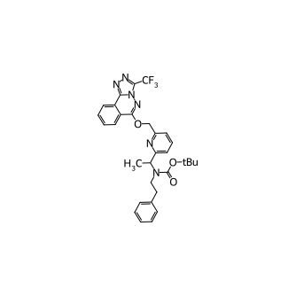 CC(c1cccc(COc2nn3c(C(F)(F)F)nnc3c3ccccc23)n1)N(CCc1ccccc1)C(=O)OC(C)(C)C